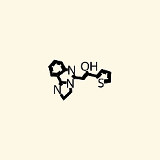 O/C(=C\C1=Nc2ccccc2C2=NCCN12)c1cccs1